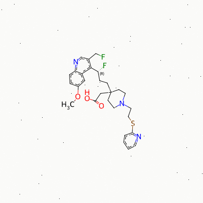 COc1ccc2ncc(CF)c([C@H](F)CCC3(CC(=O)O)CCN(CCSc4ccccn4)CC3)c2c1